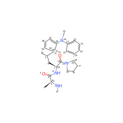 CN[C@@H](C)C(=O)N[C@@H](CC(C)C)C(=O)N1CCC[C@H]1c1cccc(N(C)c2ccccc2)c1